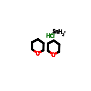 C1CCOCC1.C1CCOCC1.Cl.[SnH2]